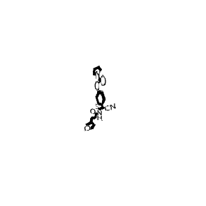 N#Cc1c(NC(=O)C=Cc2ccoc2)sc2c1CCC(OC(=O)N1CCCC1)C2